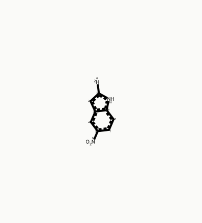 [2H]c1cc2cc([N+](=O)[O-])ccc2[nH]1